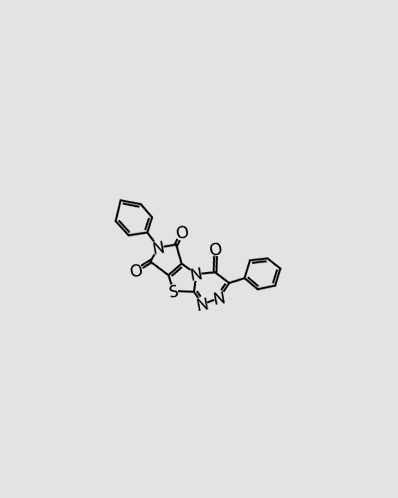 O=C1c2sc3nnc(-c4ccccc4)c(=O)n3c2C(=O)N1c1ccccc1